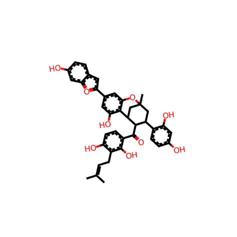 CC(C)=CCc1c(O)ccc(C(=O)C2C(c3ccc(O)cc3O)CC3(C)CC2c2c(O)cc(-c4cc5ccc(O)cc5o4)cc2O3)c1O